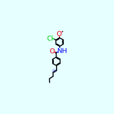 CCC/C=C/c1ccc(C(=O)Nc2ccc(OC)c(Cl)c2)cc1